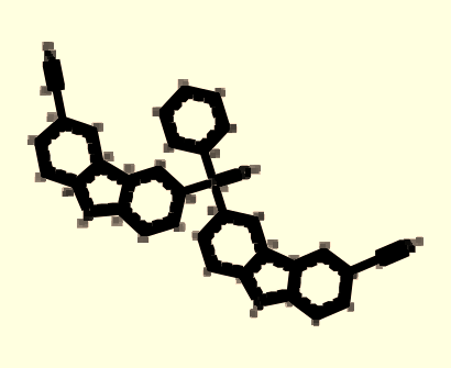 N#Cc1ccc2sc3ccc(P(=O)(c4ccccc4)c4ccc5sc6ccc(C#N)cc6c5c4)cc3c2c1